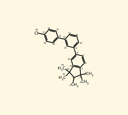 CC1C(C)(C)c2ccc(-c3cccc(-c4ccc(Cl)cc4)c3)cc2C1(C)C